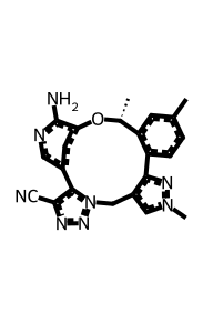 Cc1ccc2c(c1)[C@@H](C)Oc1cc(cnc1N)-c1c(C#N)nnn1Cc1cn(C)nc1-2